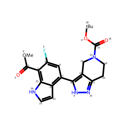 COC(=O)c1c(F)cc(-c2[nH]nc3c2CN(C(=O)OC(C)(C)C)CC3)c2cc[nH]c12